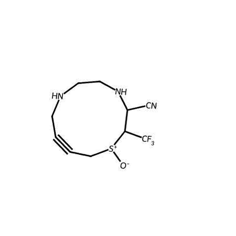 N#CC1NCCNCC#CC[S+]([O-])C1C(F)(F)F